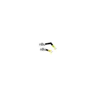 CCCCC[S].CCCC[S]